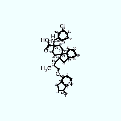 C[C@@H](COc1ccnc2c1CCC2F)CC1Cc2ccccc2C12CCC(Nc1cccc(Cl)c1)(C(=O)O)CC2